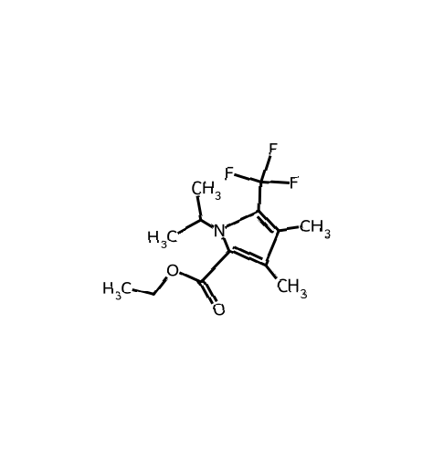 CCOC(=O)c1c(C)c(C)c(C(F)(F)F)n1C(C)C